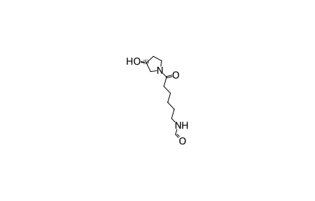 O=CNCCCCCC(=O)N1CC[C@H](O)C1